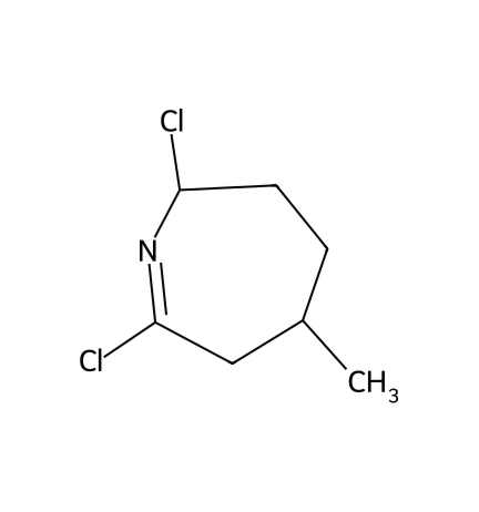 CC1CCC(Cl)N=C(Cl)C1